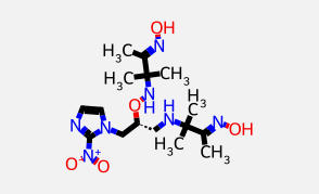 CC(=NO)C(C)(C)NC[C@H](Cn1ccnc1[N+](=O)[O-])ONC(C)(C)C(C)=NO